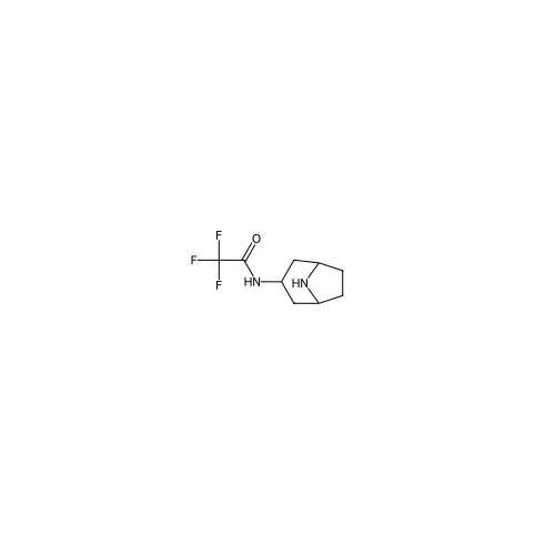 O=C(NC1CC2CCC(C1)N2)C(F)(F)F